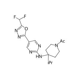 CC(=O)N1CCC(Nc2ncc(-c3nnc(C(F)F)o3)cn2)(C(C)C)CC1